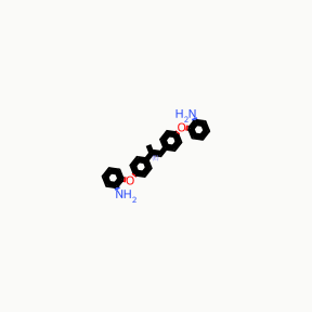 C/C(=C\c1ccc(Oc2ccccc2N)cc1)c1ccc(Oc2ccccc2N)cc1